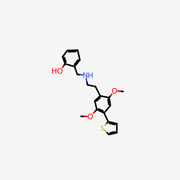 COc1cc(-c2cccs2)c(OC)cc1CCNCc1ccccc1O